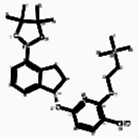 CC1(C)OB(c2cccc3c2CC[C@@H]3Oc2ccc(C=O)c(OCC[Si](C)(C)C)n2)OC1(C)C